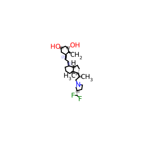 C=C1/C(=C\C=C2/CCC[C@]3(C)[C@@H]([C@H](C)CN4CC[C@H](C(F)F)C4)CC[C@@H]23)C[C@@H](O)C[C@@H]1O